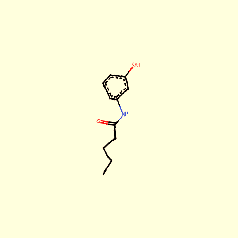 CCCCC(=O)Nc1cccc(O)c1